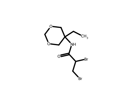 CCC1(NC(=O)C(Br)CBr)COCOC1